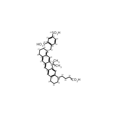 C[Si]1(C)c2cc3c(cc2C=c2cc4c(cc21)=[N+](Cc1ccc(S(=O)(=O)O)cc1S(=O)(=O)O)CCC4)CCCN3CCCC(=O)O